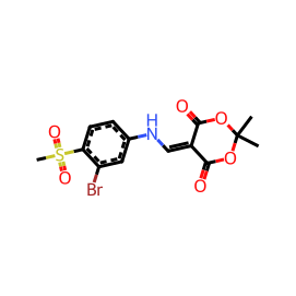 CC1(C)OC(=O)C(=CNc2ccc(S(C)(=O)=O)c(Br)c2)C(=O)O1